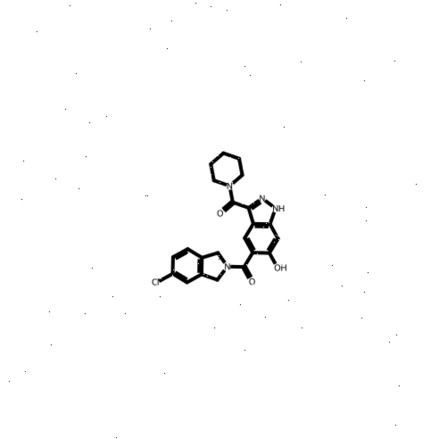 O=C(c1cc2c(C(=O)N3CCCCC3)n[nH]c2cc1O)N1Cc2ccc(Cl)cc2C1